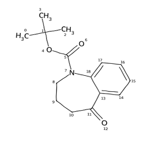 CC(C)(C)OC(=O)N1CCCC(=O)c2ccccc21